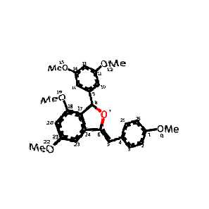 COc1ccc(C=C2OC(c3cc(OC)cc(OC)c3)c3c(OC)cc(OC)cc32)cc1